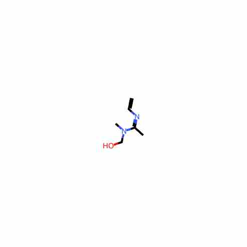 C=C/N=C(/C)N(C)CO